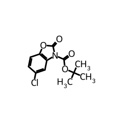 CC(C)(C)OC(=O)n1c(=O)oc2ccc(Cl)cc21